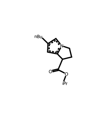 CCCCc1cc2n(c1)CCC2C(=O)OC(C)C